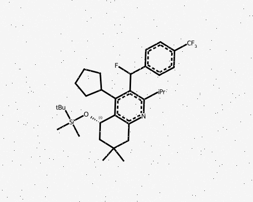 CC(C)c1nc2c(c(C3CCCC3)c1C(F)c1ccc(C(F)(F)F)cc1)[C@@H](O[Si](C)(C)C(C)(C)C)CC(C)(C)C2